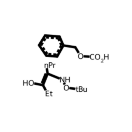 CCCC(NOC(C)(C)C)=C(O)CC.O=C(O)OCc1ccccc1